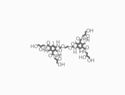 O=C(Nc1c(I)c(C(=O)NCC(O)CO)c(I)c(C(=O)NCC(O)CO)c1I)OCCOC(=O)Nc1c(I)c(C(=O)NCC(O)CO)c(I)c(C(=O)NCC(O)CO)c1I